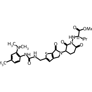 COC(=O)[C@H](NN1C(=O)CCC(N2Cc3cc(CNC(=O)Nc4ccc(C)cc4N(C)C)sc3C2=O)C1=O)C(C)C